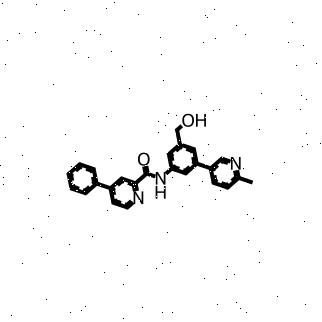 Cc1ccc(-c2cc(CO)cc(NC(=O)c3cc(-c4ccccc4)ccn3)c2)cn1